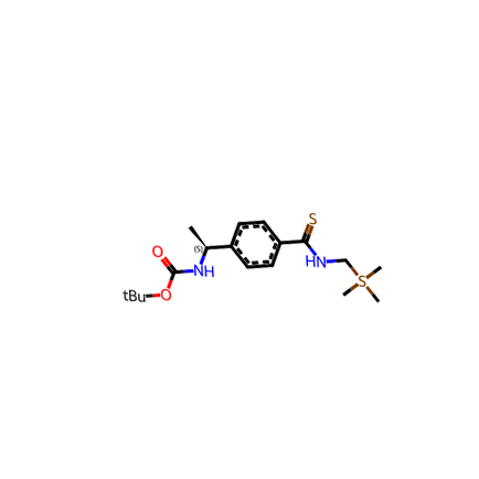 C[C@H](NC(=O)OC(C)(C)C)c1ccc(C(=S)NCS(C)(C)C)cc1